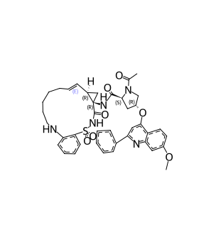 COc1ccc2c(O[C@@H]3C[C@@H](C(=O)N[C@]45C[C@@H]4/C=C/CCCCCNc4ccccc4S(=O)(=O)NC5=O)N(C(C)=O)C3)cc(-c3ccccc3)nc2c1